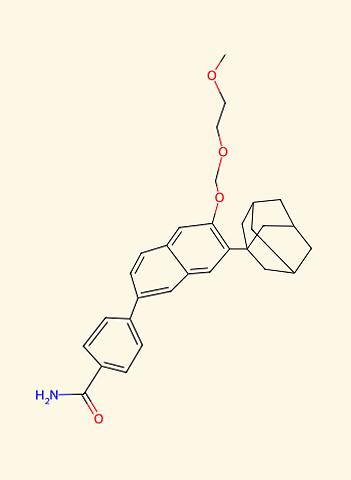 COCCOCOc1cc2ccc(-c3ccc(C(N)=O)cc3)cc2cc1C12CC3CC(CC(C3)C1)C2